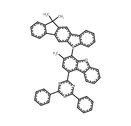 CC1(C)c2ccccc2-c2cc3c(cc21)c1ccccc1n3-c1c(C(F)(F)F)cc(-c2nc(-c3ccccc3)nc(-c3ccccc3)n2)c2c1oc1ccccc12